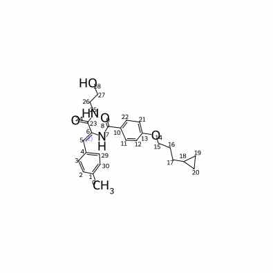 Cc1ccc(/C=C(\NC(=O)c2ccc(OCCCC3CC3)cc2)C(=O)NCCO)cc1